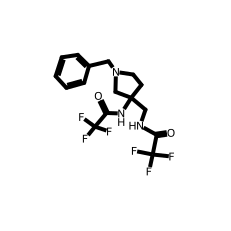 O=C(NCC1(NC(=O)C(F)(F)F)CCN(Cc2ccccc2)C1)C(F)(F)F